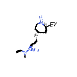 C=CN(C)NCC[C@@H]1CCN[C@@H](CC)C1